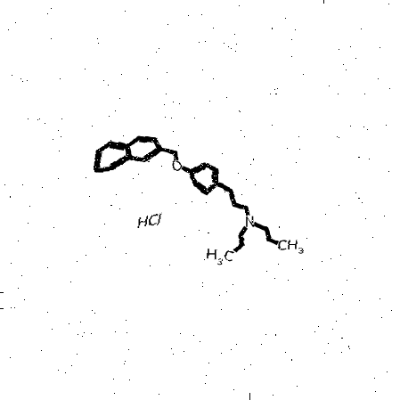 CCCN(CCC)CCCc1ccc(OCc2ccc3ccccc3c2)cc1.Cl